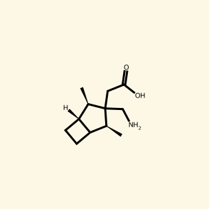 C[C@@H]1[C@H]2CCC2[C@H](C)C1(CN)CC(=O)O